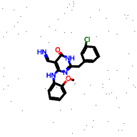 COc1ccccc1Nc1nc(Cc2cccc(Cl)c2)[nH]c(=O)c1C=N